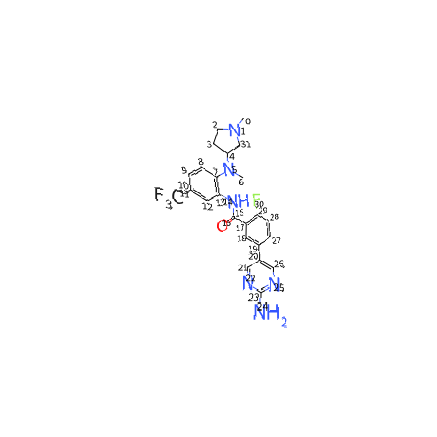 CN1CCC(N(C)c2ccc(C(F)(F)F)cc2NC(=O)c2cc(-c3cnc(N)nc3)ccc2F)C1